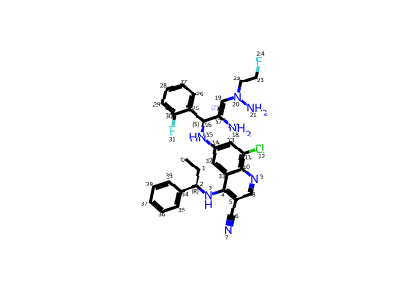 CC[C@@H](Nc1c(C#N)cnc2c(Cl)cc(N[C@H](/C(N)=C/N(N)CCF)c3ccccc3F)cc12)c1ccccc1